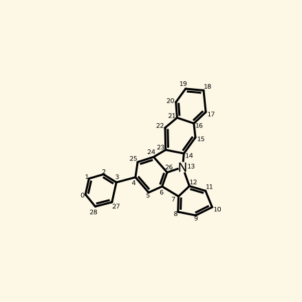 c1ccc(-c2cc3c4ccccc4n4c5cc6ccccc6cc5c(c2)c34)cc1